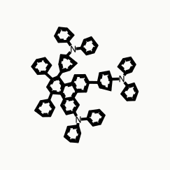 c1ccc(-c2cc(-c3ccccc3)c3c4ccc(N(c5ccccc5)c5ccccc5)cc4c4cc(-c5ccc(N(c6ccccc6)c6ccccc6)cc5)ccc4c3c2-c2ccc(N(c3ccccc3)c3ccccc3)cc2)cc1